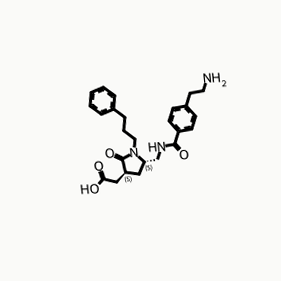 NCCc1ccc(C(=O)NC[C@@H]2C[C@@H](CC(=O)O)C(=O)N2CCCc2ccccc2)cc1